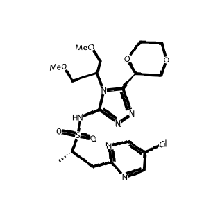 COCC(COC)n1c(NS(=O)(=O)[C@@H](C)Cc2ncc(Cl)cn2)nnc1[C@@H]1COCCO1